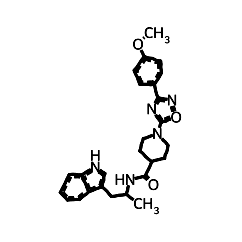 COc1ccc(-c2noc(N3CCC(C(=O)NC(C)Cc4c[nH]c5ccccc45)CC3)n2)cc1